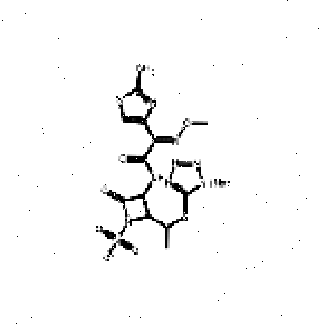 CON=C(C(=O)NC1C(=O)N(S(=O)(=O)[O-])C1C(C)Sc1nnn[nH]1)c1csc(N)n1.[Na+]